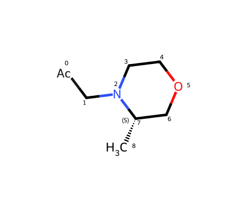 CC(=O)CN1CCOC[C@@H]1C